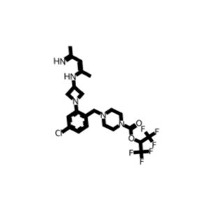 CC(=N)/C=C(/C)NC1CN(c2cc(Cl)ccc2CN2CCN(C(=O)OC(C(F)(F)F)C(F)(F)F)CC2)C1